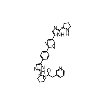 O=C(Cc1cccnc1)N1CCC[C@H]1c1ncc(-c2ccc(-c3ncc(-c4cnc([C@@H]5CCCN5)[nH]4)cn3)cc2)[nH]1